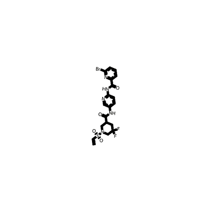 C=CS(=O)(=O)N1CC(C(=O)Nc2ccc(NC(=O)c3cccc(Br)n3)nc2)CC(F)(F)C1